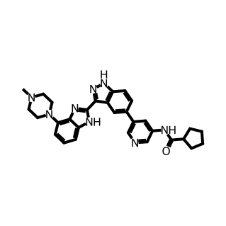 CN1CCN(c2cccc3[nH]c(-c4n[nH]c5ccc(-c6cncc(NC(=O)C7CCCC7)c6)cc45)nc23)CC1